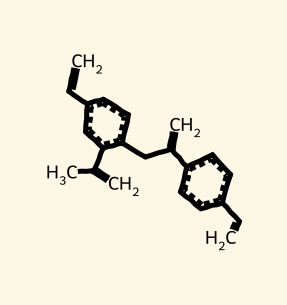 C=Cc1ccc(C(=C)Cc2ccc(C=C)cc2C(=C)C)cc1